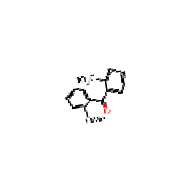 COc1ccccc1C(=O)c1ccccc1C(=O)O